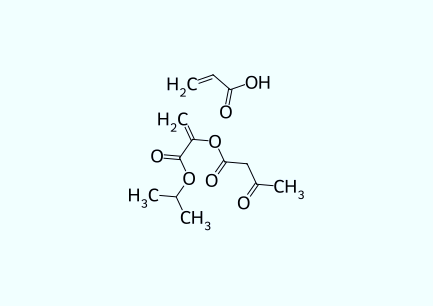 C=C(OC(=O)CC(C)=O)C(=O)OC(C)C.C=CC(=O)O